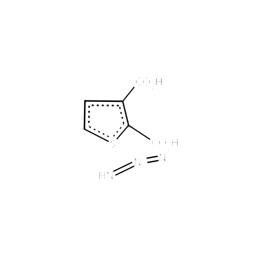 O=C(O)c1ccsc1C(=O)O.[N-]=[N+]=N